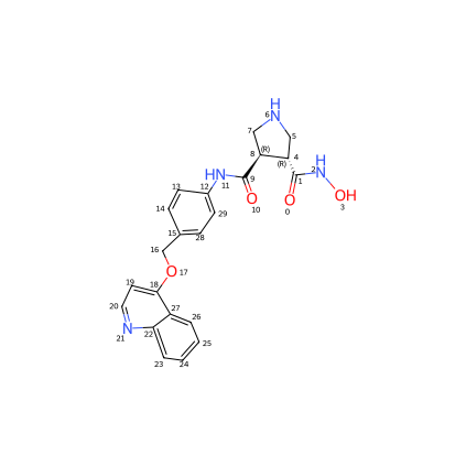 O=C(NO)[C@H]1CNC[C@@H]1C(=O)Nc1ccc(COc2ccnc3ccccc23)cc1